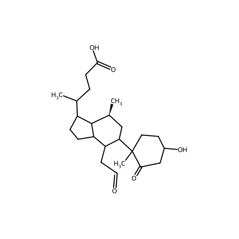 CC(CCC(=O)O)C1CCC2C(CC=O)C(C3(C)CCC(O)CC3=O)C[C@H](C)C12